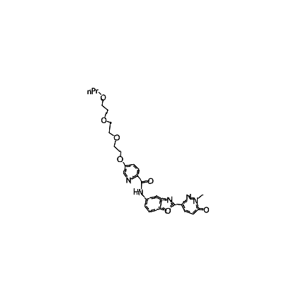 CCCOCCOCCOCCOc1ccc(C(=O)Nc2ccc3oc(-c4ccc(=O)n(C)n4)nc3c2)nc1